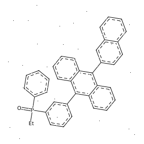 CCP(=O)(c1ccccc1)c1cccc(-c2c3ccccc3c(-c3ccc4ccccc4c3)c3ccccc23)c1